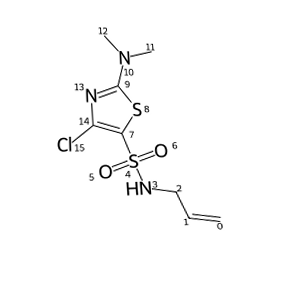 C=CCNS(=O)(=O)c1sc(N(C)C)nc1Cl